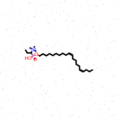 CCC/C=C\CCCC/C=C\CCCCCCCCCOP(=O)(O)C(CC)[N+](C)(C)C